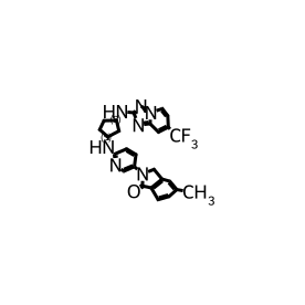 Cc1ccc2c(c1)CN(c1ccc(N[C@H]3CC[C@H](Nc4nc5cc(C(F)(F)F)ccn5n4)C3)nc1)C2=O